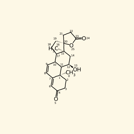 C[C@]12CCC(=O)C=C1C=CC1C2[C@H](O)C[C@@]2(C)C1CC[C@@]21CCC(=O)O1